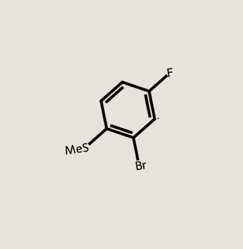 CSc1ccc(F)[c]c1Br